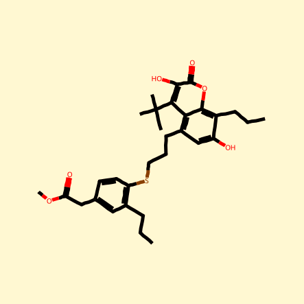 CCCc1cc(CC(=O)OC)ccc1SCCCc1cc(O)c(CCC)c2oc(=O)c(O)c(C(C)(C)C)c12